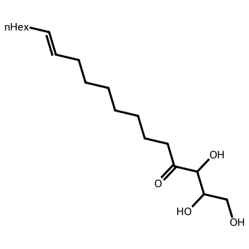 CCCCCCC=CCCCCCCCC(=O)C(O)C(O)CO